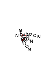 N#Cc1ccc(-c2ccc3c4ccc(-c5ccc(C#N)cc5)cc4n(-c4cc(C#N)cc(-n5c6cc(-c7ccc(C#N)cc7)ccc6c6ccc(-c7ccc(C#N)cc7)cc65)c4-c4c(C#N)cccc4C(F)(F)F)c3c2)cc1